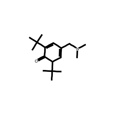 CN(C)CC1=CC(C(C)(C)C)C(=O)C(C(C)(C)C)=C1